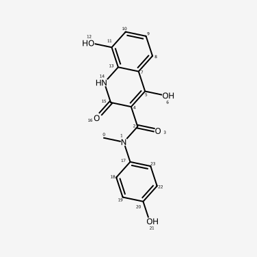 CN(C(=O)c1c(O)c2cccc(O)c2[nH]c1=O)c1ccc(O)cc1